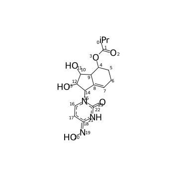 CC(C)C(=O)OC1CCC=C2C1C(O)C(O)C2n1ccc(=NO)[nH]c1=O